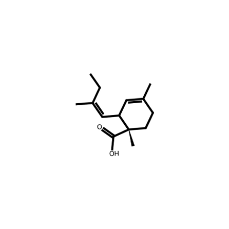 CC/C(C)=C\C1C=C(C)CC[C@]1(C)C(=O)O